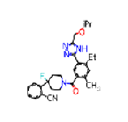 CCc1cc(C)c(C(=O)N2CCC(F)(c3ccccc3C#N)CC2)cc1-c1nnc(COC(C)C)[nH]1